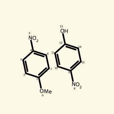 COc1ccc([N+](=O)[O-])cc1.O=[N+]([O-])c1ccc(O)cc1